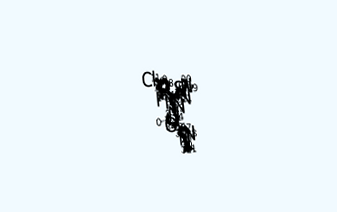 C[C@@H]1CN(c2nc(-c3ccc(Cl)cc3F)c3sc(N(C)C)nc3n2)C[C@@H](c2cnn(C3CC3)c2)O1